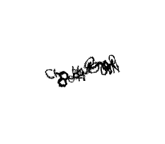 CNC(=O)c1cc(COC(=O)N2C[C@H]3C[C@@H](Oc4ccc(Cl)c5ccccc45)C[C@H]3C2)on1